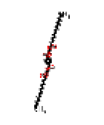 CCCCCCCCCCCCCCCC(=O)OCCOC(=O)c1ccc(C(=O)OCCOC(=O)CCCCCCCCCCCCCCC)cc1